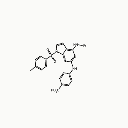 Cc1ccc(S(=O)(=O)n2ccc3c(NC(C)C)nc(Nc4ccc(C(=O)O)cc4)nc32)cc1